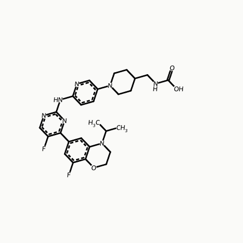 CC(C)N1CCOc2c(F)cc(-c3nc(Nc4ccc(N5CCC(CNC(=O)O)CC5)cn4)ncc3F)cc21